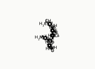 CN(C)C1CCC(NS(=O)(=O)c2ccc(-c3ccc(C[C@H](NC(=O)C4CCC(CN)CC4)C(=O)Nc4ccc5[nH]c(=O)[nH]c5c4)cc3)c(C(F)(F)F)c2)CC1.Cl